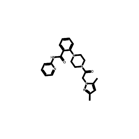 Cc1cc(C)n(CC(=O)N2CCN(c3ccccc3C(=O)Nc3ccccn3)CC2)n1